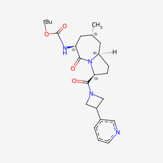 C[C@@H]1C[C@H]2CC[C@@H](C(=O)N3CC(c4cccnc4)C3)N2C(=O)[C@@H](NC(=O)OC(C)(C)C)C1